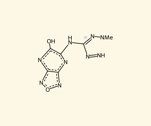 CN/N=C(\N=N)Nc1nc2nonc2nc1O